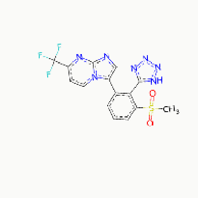 CS(=O)(=O)c1cccc(-c2cnc3nc(C(F)(F)F)ccn23)c1-c1nnn[nH]1